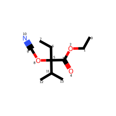 CCOC(=O)C(CC)(OC#N)C(C)C